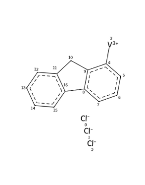 [Cl-].[Cl-].[Cl-].[V+3][c]1cccc2c1Cc1ccccc1-2